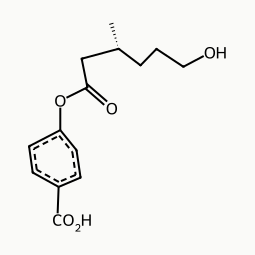 C[C@H](CCCO)CC(=O)Oc1ccc(C(=O)O)cc1